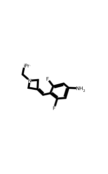 C[C](C)CN1CC(=Cc2c(F)cc(N)cc2F)C1